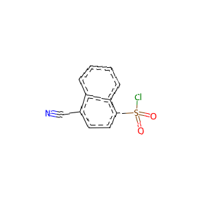 N#Cc1ccc(S(=O)(=O)Cl)c2ccccc12